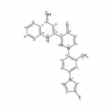 Cc1cc(-n2cc(F)cn2)ccc1-n1ccc(=O)c(/C(=C/C=N)Nc2ccccc2)n1